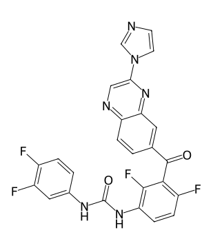 O=C(Nc1ccc(F)c(F)c1)Nc1ccc(F)c(C(=O)c2ccc3ncc(-n4ccnc4)nc3c2)c1F